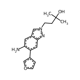 CC(C)(O)CCn1cc2cc(N)c(-c3ccoc3)cc2n1